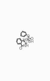 O=P(O)(O)Oc1ccccc1.O=c1[nH]ncc2ccccc12